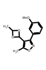 COc1cccc(-c2noc(C)c2C2OC(C)O2)c1